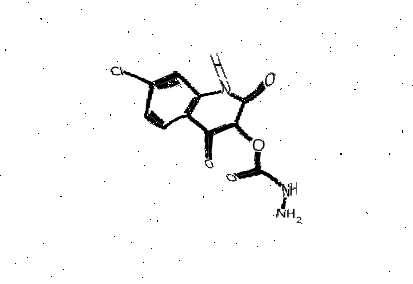 NNC(=O)OC1C(=O)Nc2cc(Cl)ccc2C1=O